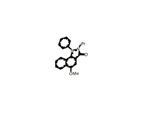 COc1cc2c(=O)n(C(C)C)n(-c3ccccc3)c2c2ccccc12